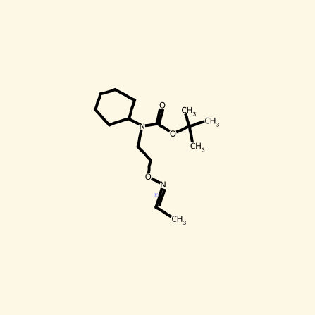 C/C=N/OCCN(C(=O)OC(C)(C)C)C1CCCCC1